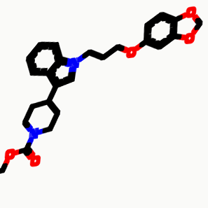 CCOC(=O)N1CCC(c2cn(CCCOc3ccc4c(c3)OCO4)c3ccccc23)CC1